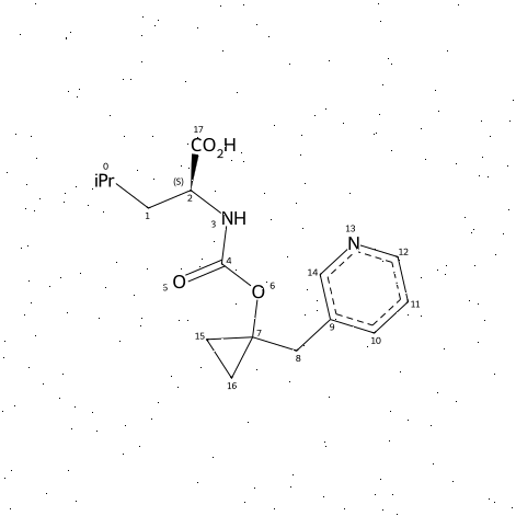 CC(C)C[C@H](NC(=O)OC1(Cc2cccnc2)CC1)C(=O)O